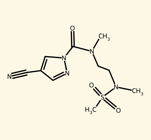 CN(CCN(C)S(C)(=O)=O)C(=O)n1cc(C#N)cn1